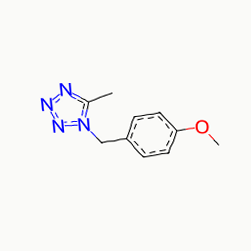 COc1ccc(Cn2nnnc2C)cc1